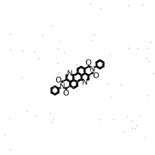 O=C1c2ccc3c4ncc5c6c(ccc(c7ncc(c2c37)C(=O)N1c1ccccc1)c64)C(=O)N(c1ccccc1)C5=O